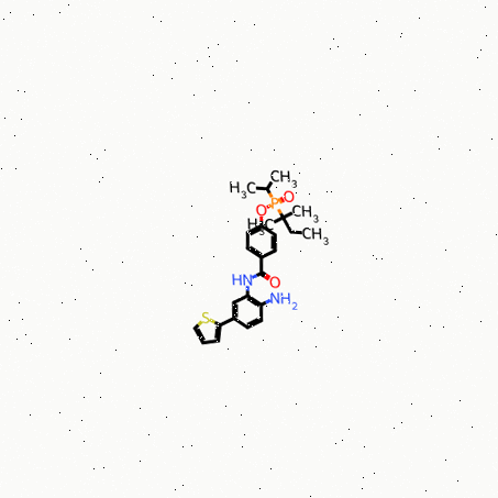 CCC(C)(C)P(=O)(Oc1ccc(C(=O)Nc2cc(-c3cccs3)ccc2N)cc1)C(C)C